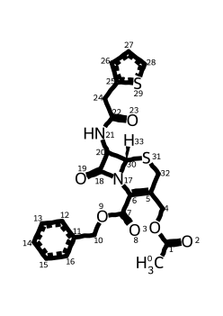 CC(=O)OCC1=C(C(=O)OCc2ccccc2)N2C(=O)C(NC(=O)Cc3cccs3)[C@@H]2SC1